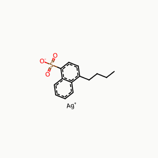 CCCCc1ccc(S(=O)(=O)[O-])c2ccccc12.[Ag+]